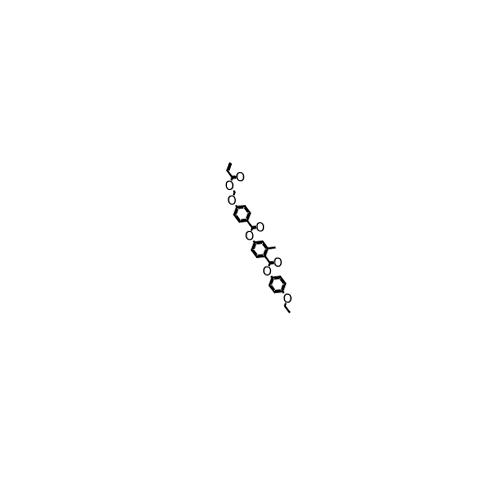 C=CC(=O)OCOc1ccc(C(=O)Oc2ccc(C(=O)Oc3ccc(OCC)cc3)c(C)c2)cc1